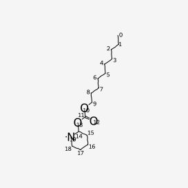 CCCCCCCCCCOC(=O)OC1CCCC[N]1